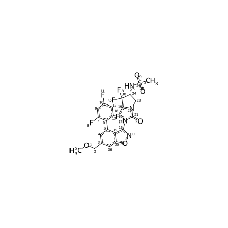 COCc1cc(-c2c(F)cc(F)cc2F)c2c(-n3cc4n(c3=O)C[C@@H](NS(C)(=O)=O)C4(F)F)noc2c1